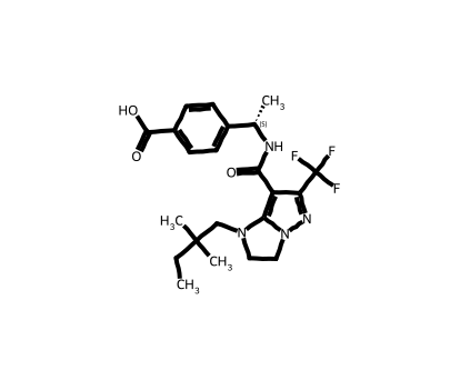 CCC(C)(C)CN1CCn2nc(C(F)(F)F)c(C(=O)N[C@@H](C)c3ccc(C(=O)O)cc3)c21